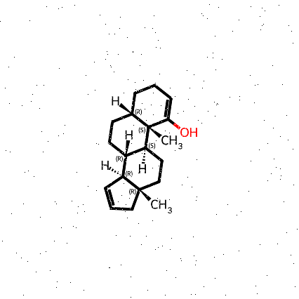 C[C@@]12CC=C[C@H]1[C@@H]1CC[C@@H]3CCC=C(O)[C@]3(C)[C@H]1CC2